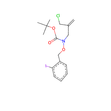 C=C(CCl)CN(OCc1ccccc1I)C(=O)OC(C)(C)C